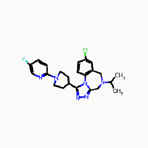 CC(C)N1Cc2cc(Cl)ccc2-n2c(nnc2C2CCN(c3ccc(F)cn3)CC2)C1